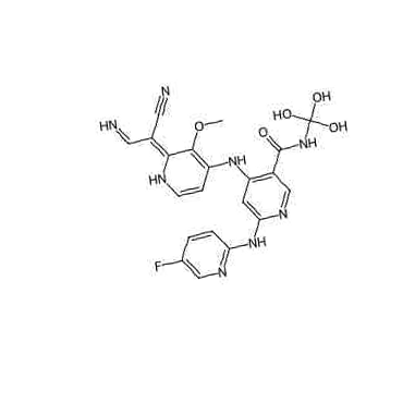 COC1=C(Nc2cc(Nc3ccc(F)cn3)ncc2C(=O)NC(O)(O)O)C=CN/C1=C(/C#N)C=N